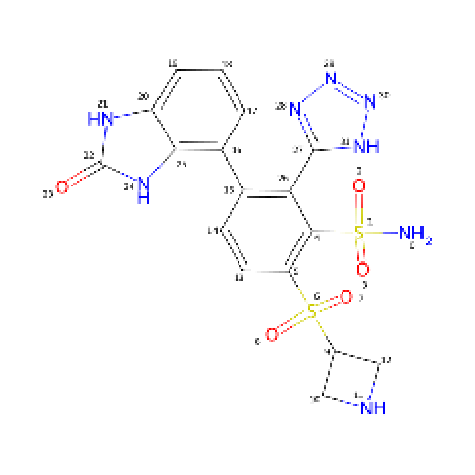 NS(=O)(=O)c1c(S(=O)(=O)C2CNC2)ccc(-c2cccc3[nH]c(=O)[nH]c23)c1-c1nnn[nH]1